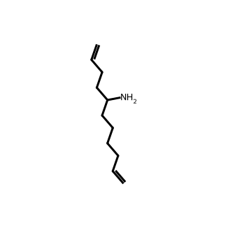 C=CCCCCC(N)CCC=C